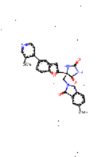 COc1ccc2c(c1)C(=O)N(C[C@@]1(c3cc4cc(-c5ccncc5OC)ccc4o3)NC(=O)NC1=O)C2